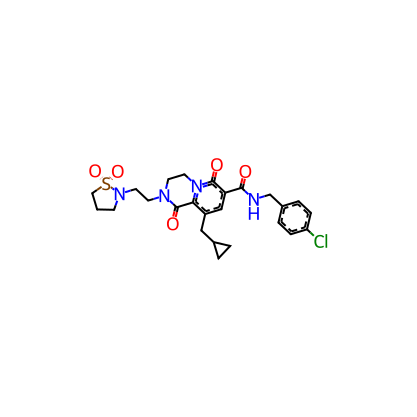 O=C(NCc1ccc(Cl)cc1)c1cc(CC2CC2)c2n(c1=O)CCN(CCN1CCCS1(=O)=O)C2=O